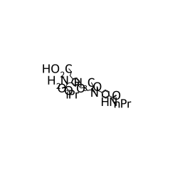 CCCNC(=O)c1ccc(-c2nc(CCOc3ccc(CCC(=O)O)c(C(N)C(=O)OC(C)C)c3)c(C)o2)cc1